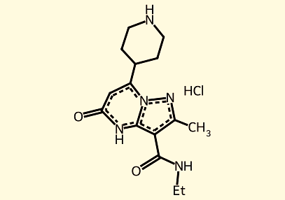 CCNC(=O)c1c(C)nn2c(C3CCNCC3)cc(=O)[nH]c12.Cl